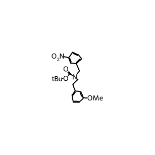 COc1cccc(CCN(Cc2cccc([N+](=O)[O-])c2)C(=O)OC(C)(C)C)c1